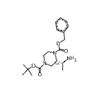 CC(N)[C@@H]1CN(C(=O)OC(C)(C)C)CCN1C(=O)OCc1ccccc1